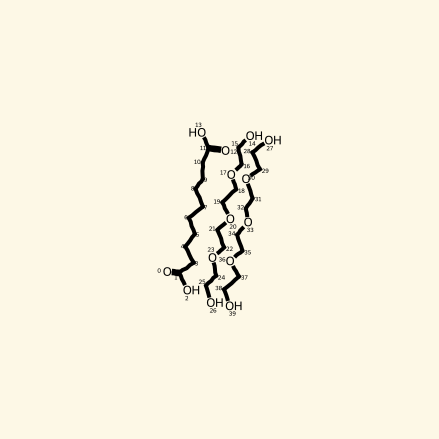 O=C(O)CCCCCCCCC(=O)O.OCCOCCOCCOCCO.OCCOCCOCCOCCO